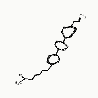 C=CCc1ccc(-c2cnc(-c3ccc(CCCCCC(C)F)cc3)nc2)cc1